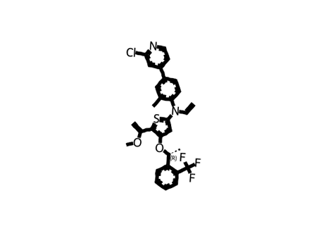 C=CN(c1cc(O[C@H](C)c2ccccc2C(F)(F)F)c(C(=C)OC)s1)c1ccc(-c2ccnc(Cl)c2)cc1C